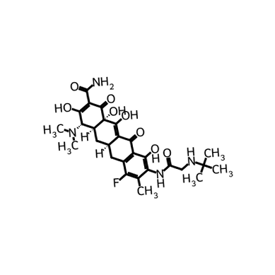 Cc1c(F)c2c(c(O)c1NC(=O)CNC(C)(C)C)C(=O)C1=C(O)[C@]3(O)C(=O)C(C(N)=O)=C(O)[C@@H](N(C)C)[C@@H]3C[C@@H]1C2